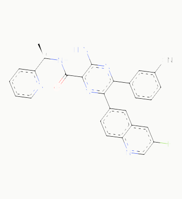 C[C@@H](NC(=O)c1nc(-c2ccc3ncc(F)cc3c2)c(-c2cccc(C#N)c2)nc1N)c1ccccn1